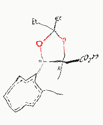 CCC1(CC)O[C@@H](c2ccccc2C)[C@](C)(C(=O)O)O1